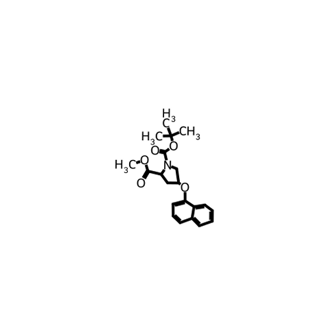 COC(=O)C1CC(Oc2cccc3ccccc23)CN1C(=O)OC(C)(C)C